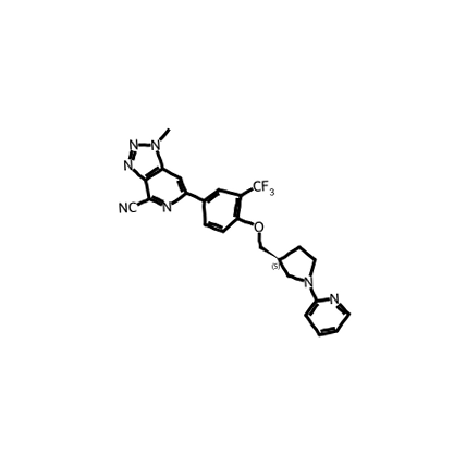 Cn1nnc2c(C#N)nc(-c3ccc(OC[C@H]4CCN(c5ccccn5)C4)c(C(F)(F)F)c3)cc21